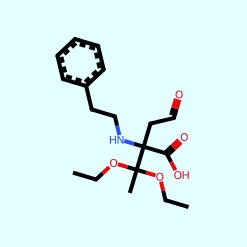 CCOC(C)(OCC)C(CC=O)(NCCc1ccccc1)C(=O)O